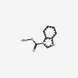 CCCCOC(=O)n1cnc2ccccc21